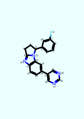 Fc1cccc(C2CCc3nc4ccc(-c5cncnc5)cc4n32)c1